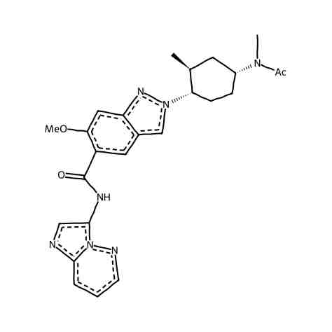 COc1cc2nn([C@H]3CC[C@@H](N(C)C(C)=O)C[C@@H]3C)cc2cc1C(=O)Nc1cnc2cccnn12